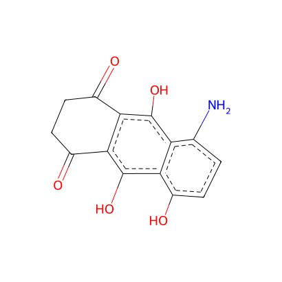 Nc1ccc(O)c2c(O)c3c(c(O)c12)C(=O)CCC3=O